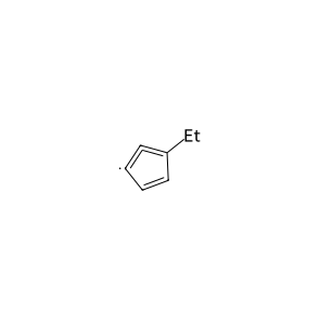 CCC1=C=[C]C=C1